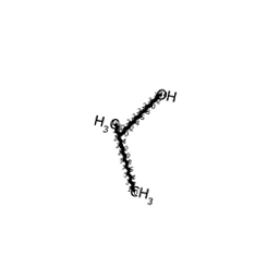 CCCCCCCCCCCCCCCCC(CCC)CCCCCCCCCCCCCCO